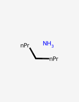 CCCCCCC.N